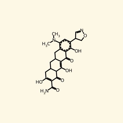 CN(C)c1cc(C2C=NOC2)c(O)c2c1CC1CC3CC(O)=C(C(N)=O)C(=O)C3C(O)=C1C2=O